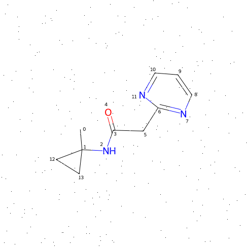 CC1(NC(=O)Cc2ncccn2)CC1